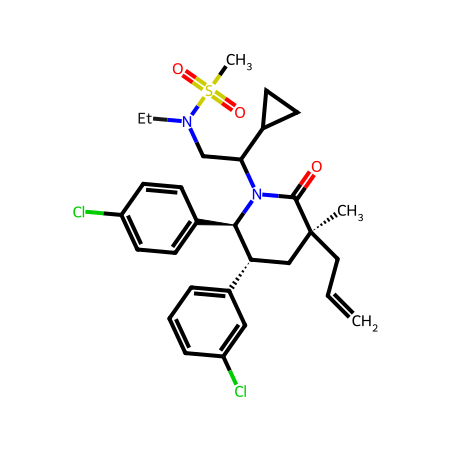 C=CC[C@@]1(C)C[C@H](c2cccc(Cl)c2)[C@@H](c2ccc(Cl)cc2)N(C(CN(CC)S(C)(=O)=O)C2CC2)C1=O